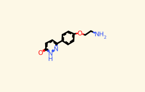 NCCOc1ccc(-c2ccc(=O)[nH]n2)cc1